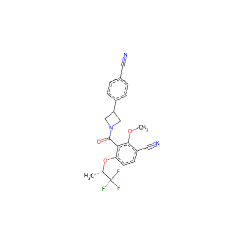 COc1c(C#N)ccc(O[C@@H](C)C(F)(F)F)c1C(=O)N1CC(c2ccc(C#N)cc2)C1